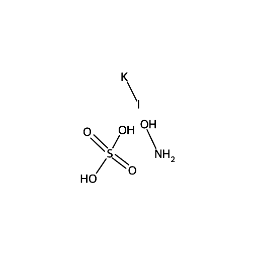 NO.O=S(=O)(O)O.[K][I]